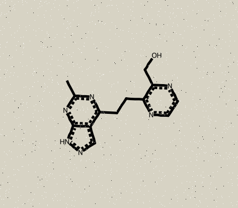 Cc1nc(CCc2nccnc2CO)c2cn[nH]c2n1